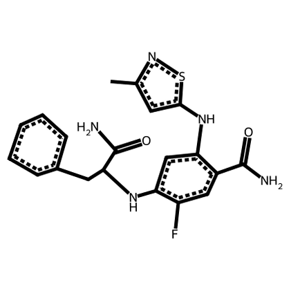 Cc1cc(Nc2cc(NC(Cc3ccccc3)C(N)=O)c(F)cc2C(N)=O)sn1